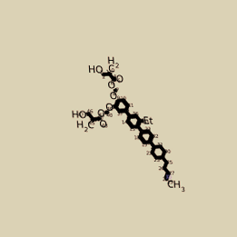 C=C(CO)C(=O)OCOc1ccc(-c2ccc(-c3ccc(C4CCC(CC/C=C/C)CC4)cc3)c(CC)c2)cc1OCOC(=O)C(=C)CO